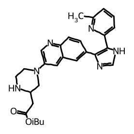 Cc1cccc(-c2[nH]cnc2-c2ccc3ncc(N4CCNC(CC(=O)OCC(C)C)C4)cc3c2)n1